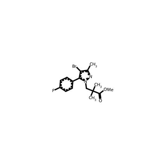 COC(=O)C(C)(C)Cn1nc(C)c(Br)c1-c1ccc(F)cc1